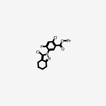 CC(C)OC(=O)c1cc(-n2nc3c(c2Cl)CCCC3)c(F)cc1Cl